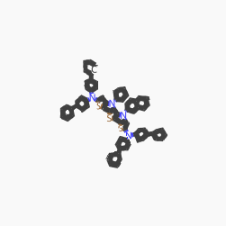 c1ccc(-c2ccc(N(c3ccc(-c4ccccc4)cc3)c3cc4c(s3)c3sc5c6sc(N(c7ccc(-c8ccccc8)cc7)c7ccc(-c8ccccc8)cc7)cc6n(-c6ccc7ccccc7c6)c5c3n4-c3ccccc3)cc2)cc1